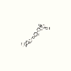 O=C(c1ccc(-c2ccc(OCC3CCN(CC(F)(F)C(F)(F)F)CC3)cn2)cc1F)N1CC[C@@H](O)C1